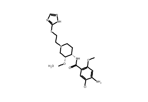 COc1cc(N)c(Cl)cc1C(=O)N[C@H]1CCN(CCSc2ncn[nH]2)C[C@H]1OC.O